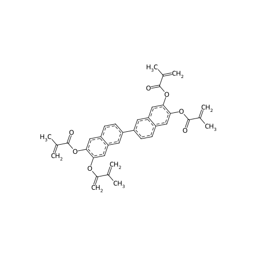 C=C(C)C(=C)Oc1cc2cc(-c3ccc4cc(OC(=O)C(=C)C)c(OC(=O)C(=C)C)cc4c3)ccc2cc1OC(=O)C(=C)C